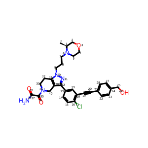 C[C@H]1COCCN1CCCn1nc(-c2ccc(Cl)c(C#Cc3ccc(CO)cc3)c2)c2c1CCN(C(=O)C(N)=O)C2